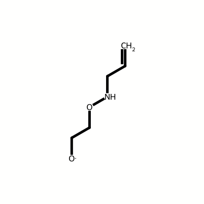 C=CCNOCC[O]